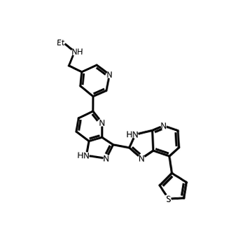 CCNCc1cncc(-c2ccc3[nH]nc(-c4nc5c(-c6ccsc6)ccnc5[nH]4)c3n2)c1